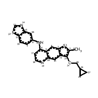 Cc1sc2cc3c(Nc4ccc5scnc5c4)ccnc3cc2c1OCC1CC1